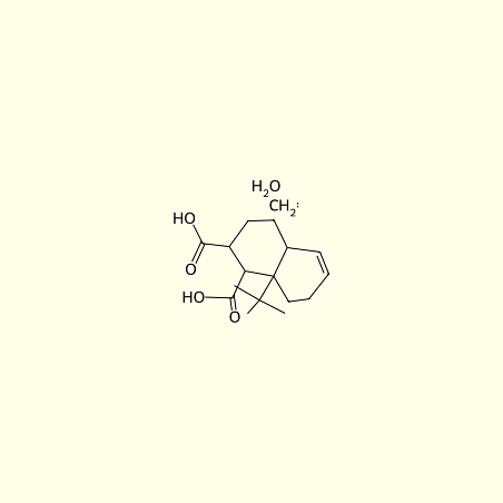 CC(C)(C)C12CCC=CC1CCC(C(=O)O)C2C(=O)O.O.[CH2]